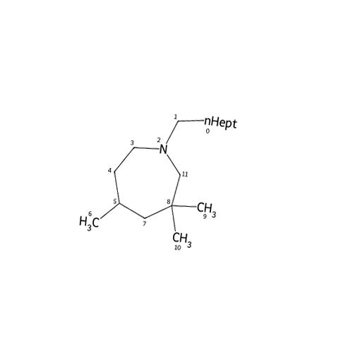 CCCCCCCCN1CCC(C)CC(C)(C)C1